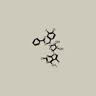 Cc1nc(Cl)nc2c1c(F)cn2[C@@H]1O[C@H](C(OC(=O)c2ccccc2)c2ccc(Cl)c(F)c2)[C@@H](O)[C@H]1O